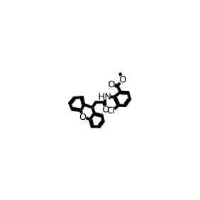 COC(=O)c1cccc(Cl)c1NC(=O)CC1c2ccccc2Oc2ccccc21